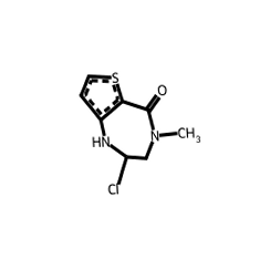 CN1CC(Cl)Nc2ccsc2C1=O